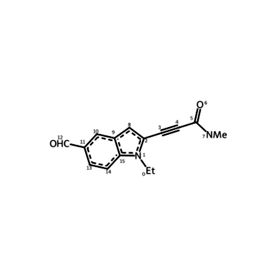 CCn1c(C#CC(=O)NC)cc2cc(C=O)ccc21